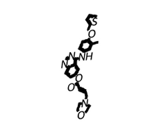 Cc1cc(Nc2ncnc3ccc(OC(=O)C#CCN4CCOCC4)cc23)ccc1OCc1cccs1